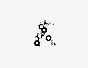 COC(=O)N1c2ccc3c(nc(C[C@H](C(=O)O)c4cccc(F)c4)n3[C@H]3CC[C@H](OC)CC3)c2CC[C@@H]1C